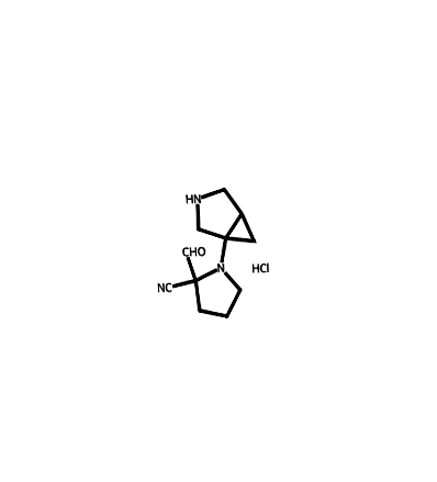 Cl.N#CC1(C=O)CCCN1C12CNCC1C2